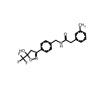 Cc1cccc(CC(=O)NCc2ccc(C3=NOC(O)(C(F)(F)F)C3)cc2)c1